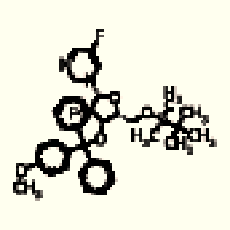 COc1ccc(C(O[C@H]2[C@H](F)[C@H](N3C=C(F)C=NC3)O[C@@H]2CO[Si](C)(C)C(C)(C)C)(c2ccccc2)c2ccccc2)cc1